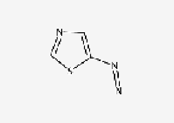 [N]=Nc1cncs1